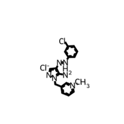 C[n+]1cccc(Cn2ncc(N=Nc3cccc(Cl)c3)c2N)c1.[Cl-]